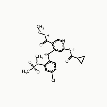 CONC(=O)c1cnc(NC(=O)C2CC2)cc1Nc1ccc(Cl)cc1N(C)S(C)(=O)=O